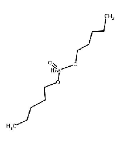 CCCCCO[AsH](=O)OCCCCC